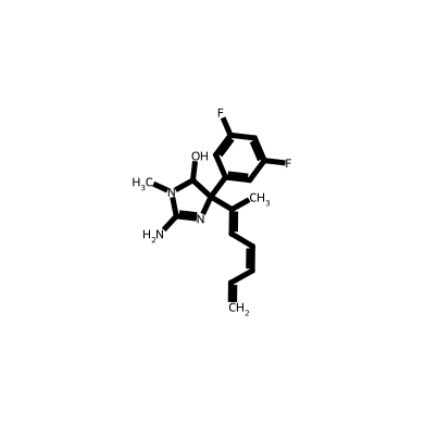 C=C/C=C\C=C(/C)C1(c2cc(F)cc(F)c2)N=C(N)N(C)C1O